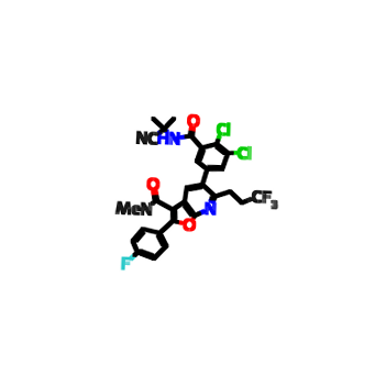 CNC(=O)c1c(-c2ccc(F)cc2)oc2nc(CCC(F)(F)F)c(-c3cc(Cl)c(Cl)c(C(=O)NC(C)(C)C#N)c3)cc12